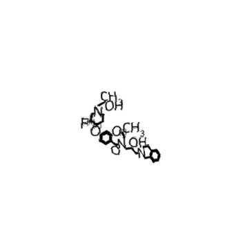 CC(O)CN1CC[C@@H](Oc2ccc3c(c2)O[C@H](C)CN(CC(O)CN2CCc4ccccc4C2)C3=O)[C@H](F)C1